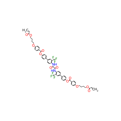 C=CC(=O)OCCCCOc1ccc(C(=O)Oc2ccc(-c3ccc(NC(=O)C(=O)Nc4ccc(-c5ccc(OC(=O)c6ccc(OCCCCOC(=O)C=C)cc6)cc5)cc4C(F)(F)F)c(C(F)(F)F)c3)cc2)cc1